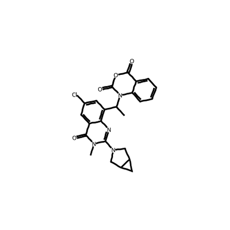 CC(c1cc(Cl)cc2c(=O)n(C)c(N3CC4CC4C3)nc12)n1c(=O)oc(=O)c2ccccc21